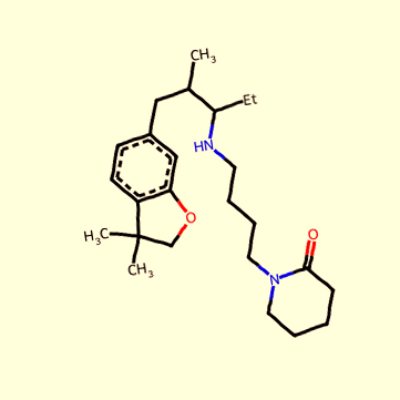 CCC(NCCCCN1CCCCC1=O)C(C)Cc1ccc2c(c1)OCC2(C)C